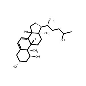 CC(C)C(O)CC[C@@H](C)[C@H]1CC[C@H]2C3=CC=C4C[C@@H](O)C[C@H](O)[C@]4(C)[C@H]3CC[C@]12C